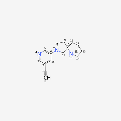 C#Cc1cncc(N2CCC3(CC4CCN3C4)C2)c1